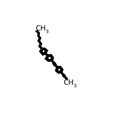 CCC#Cc1ccc(C#Cc2ccc(-c3ccc(CCCCCCCC)cc3)cc2)cc1